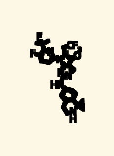 CC(C)(F)c1nc(-n2c3nc(Nc4ccc5c(c4)CCNC54CC4)ncc3c(=O)n2CC(F)(F)F)ccc1F